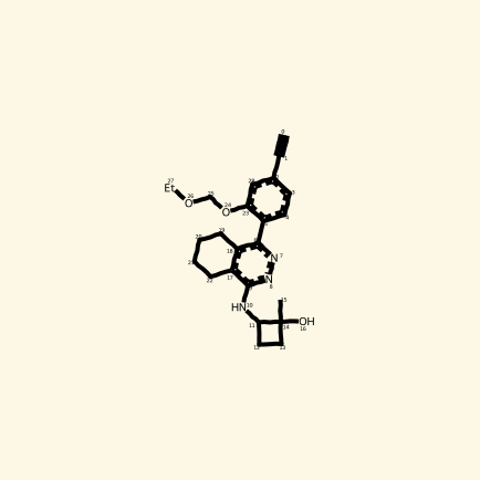 C#Cc1ccc(-c2nnc(NC3CCC3(C)O)c3c2CCCC3)c(OCOCC)c1